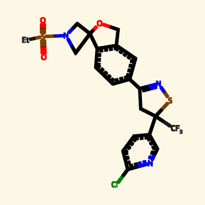 CCS(=O)(=O)N1CC2(C1)OCc1cc(C3=NSC(c4ccc(Cl)nc4)(C(F)(F)F)C3)ccc12